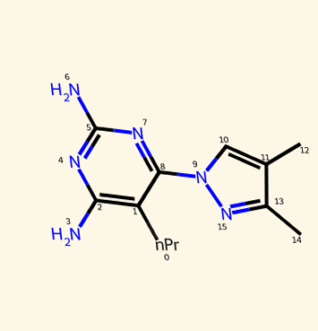 CCCc1c(N)nc(N)nc1-n1cc(C)c(C)n1